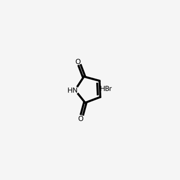 Br.O=C1C=CC(=O)N1